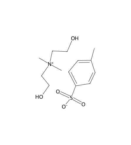 C[N+](C)(CCO)CCO.Cc1ccc(S(=O)(=O)[O-])cc1